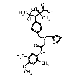 COc1cc(C)c(NC(=O)CN(Cc2ccc(C(C(C)(C)C)C(C)(C)C(=O)O)cc2)Cc2ccco2)cc1C